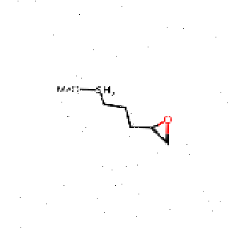 CO[SiH2]CCCC1CO1